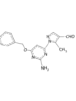 Cc1c(C=O)cnn1-c1cc(OCc2ccccc2)nc(N)n1